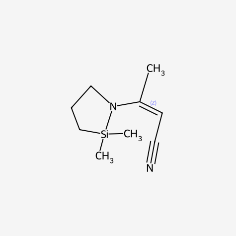 C/C(=C/C#N)N1CCC[Si]1(C)C